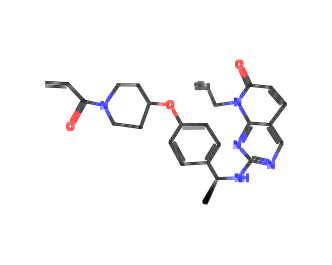 C=CC(=O)N1CCC(Oc2ccc([C@H](C)Nc3ncc4ccc(=O)n(CC(C)(C)C)c4n3)cc2)CC1